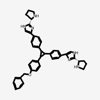 c1ccc(COc2ccc(C3C(c4ccc(-c5c[nH]c([C@@H]6CCCN6)n5)cc4)C3c3ccc(-c4c[nH]c([C@@H]5CCCN5)n4)cc3)cc2)cc1